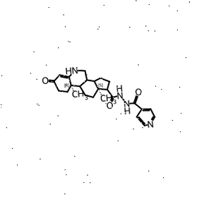 C[C@]12CCC3C(CNC4=CC(=O)CC[C@@]43C)C1CCC2C(=O)NNC(=O)c1ccncc1